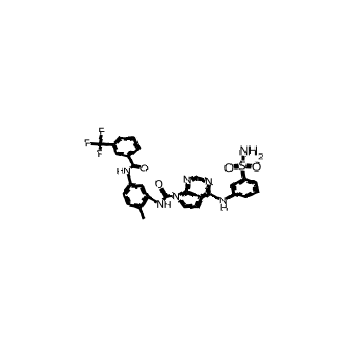 Cc1ccc(NC(=O)c2cccc(C(F)(F)F)c2)cc1NC(=O)n1ccc2c(Nc3cccc(S(N)(=O)=O)c3)ncnc21